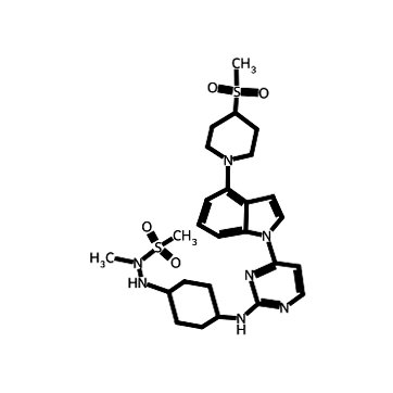 CN(NC1CCC(Nc2nccc(-n3ccc4c(N5CCC(S(C)(=O)=O)CC5)cccc43)n2)CC1)S(C)(=O)=O